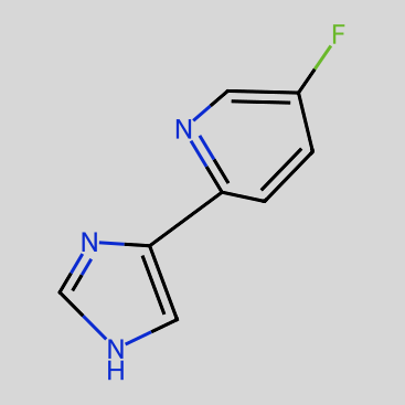 Fc1ccc(-c2c[nH]cn2)nc1